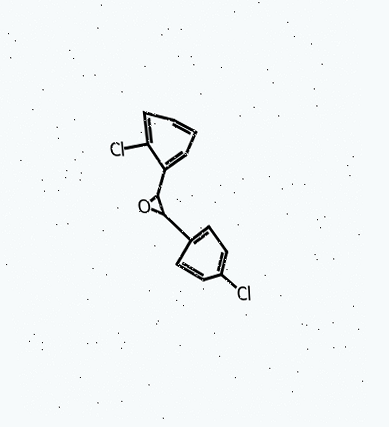 Clc1ccc(C2OC2c2ccccc2Cl)cc1